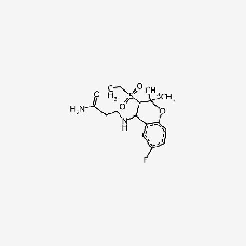 CCS(=O)(=O)C1C(NCCC(N)=O)c2cc(F)ccc2OC1(C)C